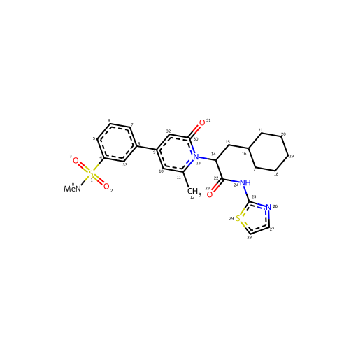 CNS(=O)(=O)c1cccc(-c2cc(C)n(C(CC3CCCCC3)C(=O)Nc3nccs3)c(=O)c2)c1